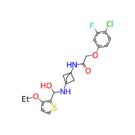 CCOc1ccsc1C(O)NC12CC(NC(=O)COc3ccc(Cl)c(F)c3)(C1)C2